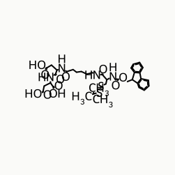 CC(C)(C)SSCC(NC(=O)OCC1c2ccccc2-c2ccccc21)C(=O)NCCCCCC(=O)NC(CC(=O)O)C(=O)NC(CC(=O)O)C(=O)O